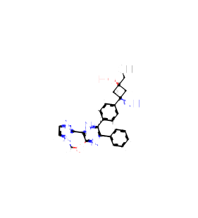 CCC1(O)CC(N)(c2ccc(-c3nc4c(nc3-c3ccccc3)OCn3ccnc3-4)cc2)C1